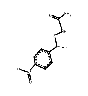 C[C@@H](SNC(N)=O)c1ccc([N+](=O)[O-])cc1